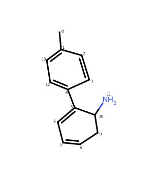 Cc1ccc(C2=CC=CCC2N)cc1